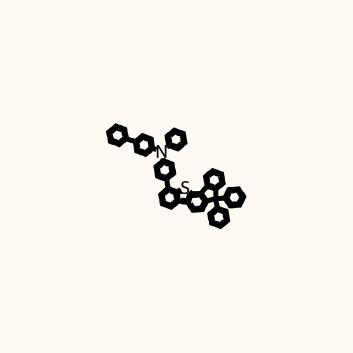 c1ccc(-c2ccc(N(c3ccccc3)c3ccc(-c4cccc5c4sc4c6c(ccc45)C(c4ccccc4)(c4ccccc4)c4ccccc4-6)cc3)cc2)cc1